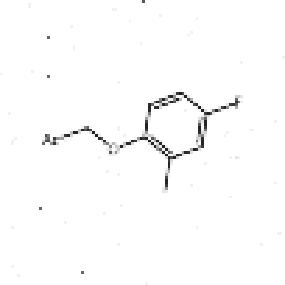 CC(=O)COc1ccc(F)cc1C